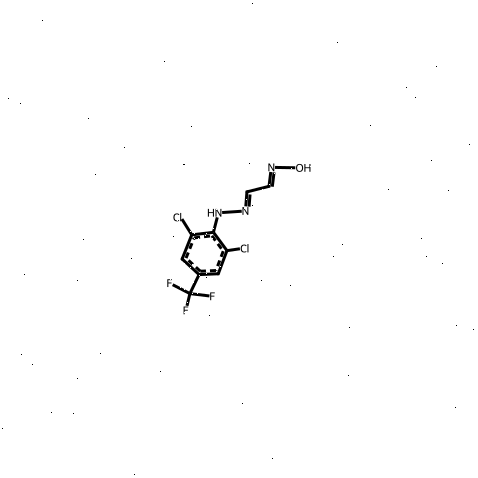 ON=CC=NNc1c(Cl)cc(C(F)(F)F)cc1Cl